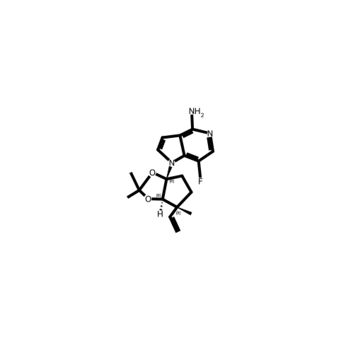 C=C[C@@]1(C)CC[C@@]2(n3ccc4c(N)ncc(F)c43)OC(C)(C)O[C@H]12